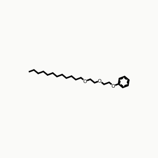 CCCCCCCCCCCCOCCOCCOc1ccccc1